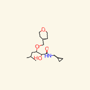 CC(C)CC(OCC1CCOCC1)C(O)C(=O)NCC1CC1